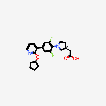 O=C(O)C[C@@H]1CCN(c2c(F)cc(-c3cccnc3OC3CCCC3)cc2F)C1